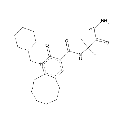 CC(C)(NC(=O)c1cc2c(n(CC3CCCCC3)c1=O)CCCCCC2)C(=O)NN